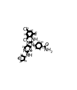 NC(=O)[C@H]1CC[C@@H](n2c(Nc3c(F)cc(Cl)cc3Cl)nc3cnc(N[C@@H]4CCOC4)nc32)CC1